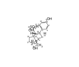 C[C@]12CC[C@@H]3c4ccc(O)cc4CC[C@H]3[C@@H]1CC[C@H]2O.O=S(=O)(O)O